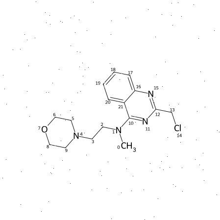 CN(CCN1CCOCC1)c1nc(CCl)nc2ccccc12